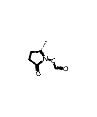 C[C@H]1CCC(=O)N1OC=O